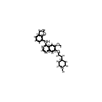 COc1cc2c(Nc3cccc4c3OOC4)ncnc2cc1OCCC1CCN(C)CC1